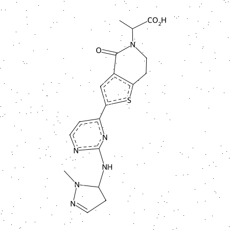 CC(C(=O)O)N1CCc2sc(-c3ccnc(NC4CC=NN4C)n3)cc2C1=O